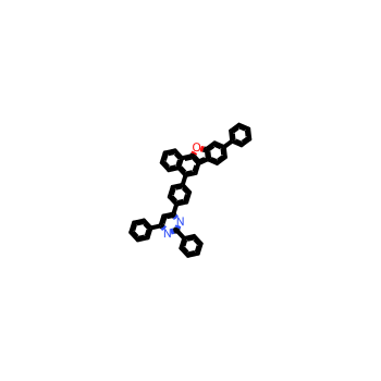 c1ccc(-c2ccc3c(c2)oc2c4ccccc4c(-c4ccc(-c5cc(-c6ccccc6)nc(-c6ccccc6)n5)cc4)cc32)cc1